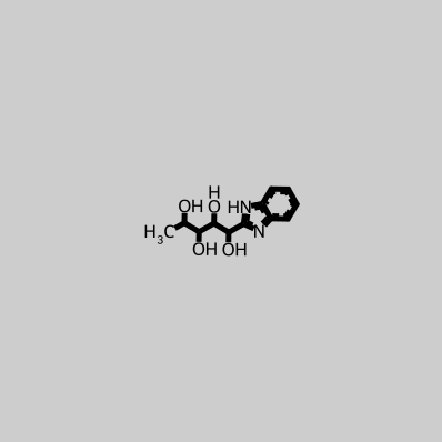 CC(O)C(O)C(O)C(O)c1nc2ccccc2[nH]1